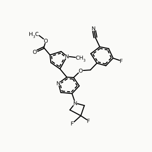 COC(=O)c1cc(-c2ncc(N3CC(F)(F)C3)cc2OCc2cc(F)cc(C#N)c2)n(C)c1